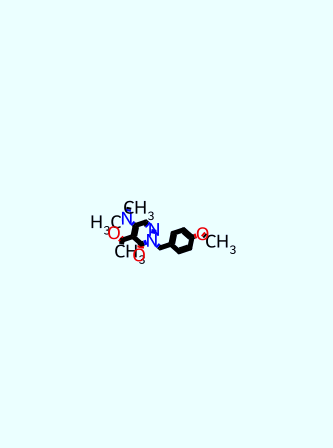 COc1ccc(Cn2ncc(N(C)C)c(C(C)=O)c2=O)cc1